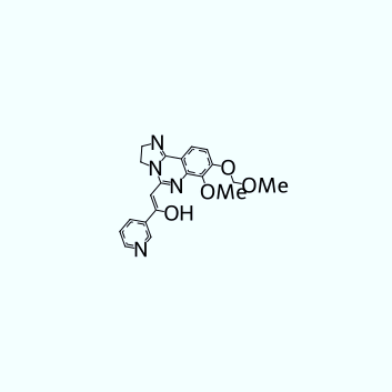 COCOc1ccc2c(c1OC)N=C(C=C(O)c1cccnc1)N1CCN=C21